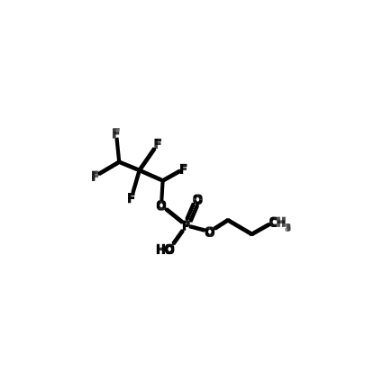 CCCOP(=O)(O)OC(F)C(F)(F)C(F)F